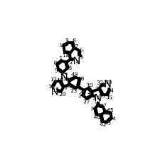 c1cc(-c2nccc3ccccc23)cc(-n2c3ccncc3c3cc(-c4ccc5c(c4)c4cnccc4n5-c4ccc5ccccc5c4)ccc32)c1